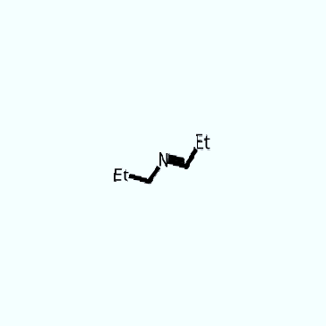 [CH2]CC=NCCC